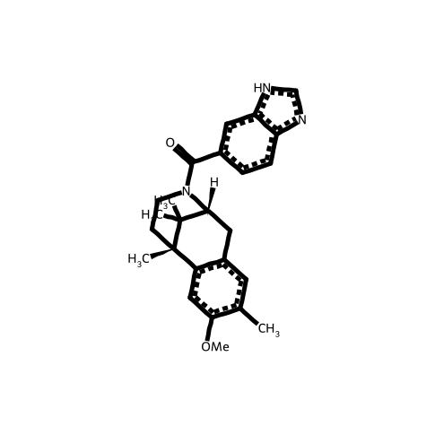 COc1cc2c(cc1C)C[C@H]1N(C(=O)c3ccc4nc[nH]c4c3)CC[C@]2(C)C1(C)C